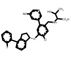 CC(O)C(NCc1cc(Cl)c(O[C@H]2CCc3c(-c4ccccc4F)cccc32)cc1-c1cncc(C#N)c1)C(=O)O